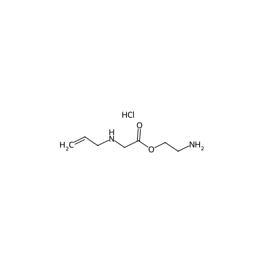 C=CCNCC(=O)OCCN.Cl